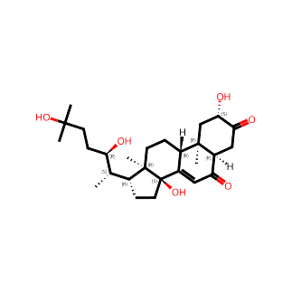 C[C@H]([C@H](O)CCC(C)(C)O)[C@H]1CC[C@@]2(O)C3=CC(=O)[C@@H]4CC(=O)[C@@H](O)C[C@]4(C)[C@H]3CC[C@]12C